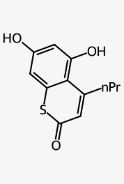 CCCc1cc(=O)sc2cc(O)cc(O)c12